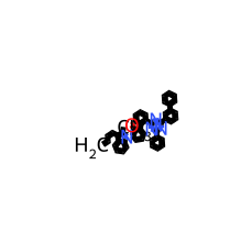 C=C/C=C\c1c(C)n(-c2cccc3c2oc2cccc(-c4nc(-c5ccccc5)nc(-c5cccc(-c6ccccc6)c5)n4)c23)c2ccccc12